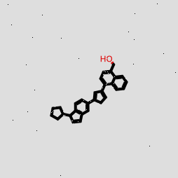 OCc1ccc(C2=CCC(c3ccc4c(c3)C=CC4C3CCCC3)=C2)c2ccccc12